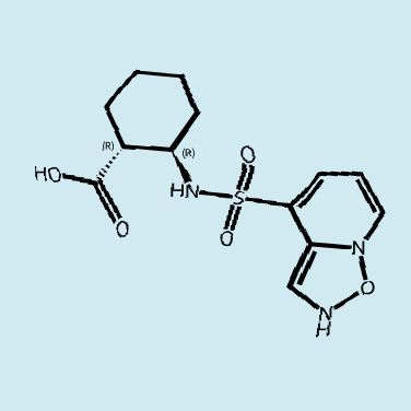 O=C(O)[C@@H]1CCCC[C@H]1NS(=O)(=O)C1=CC=CN2ONC=C12